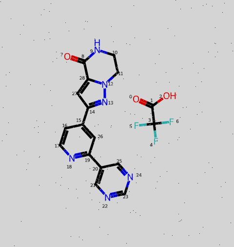 O=C(O)C(F)(F)F.O=C1NCCn2nc(-c3ccnc(-c4cncnc4)c3)cc21